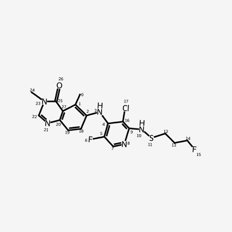 Cc1c(Nc2c(F)cnc(NSCCCF)c2Cl)ccc2ncn(C)c(=O)c12